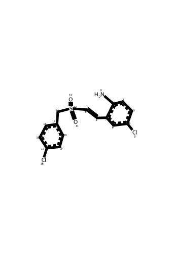 Nc1ccc(Cl)cc1/C=C/S(=O)(=O)Cc1ccc(Cl)cc1